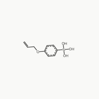 C=CCOc1ccc([Si](O)(O)O)cc1